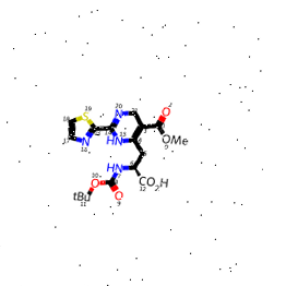 COC(=O)C1=C(C[C@H](NC(=O)OC(C)(C)C)C(=O)O)NC(c2nccs2)=NC1